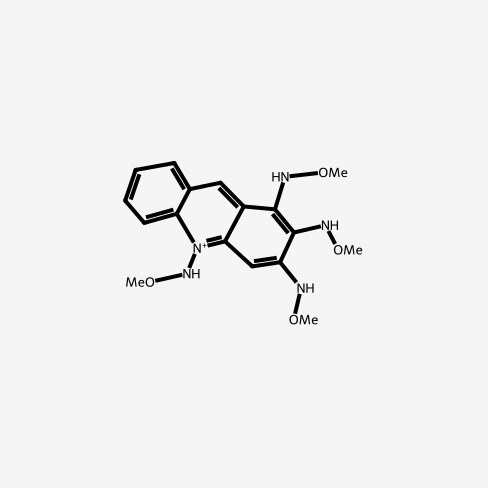 CONc1cc2c(cc3ccccc3[n+]2NOC)c(NOC)c1NOC